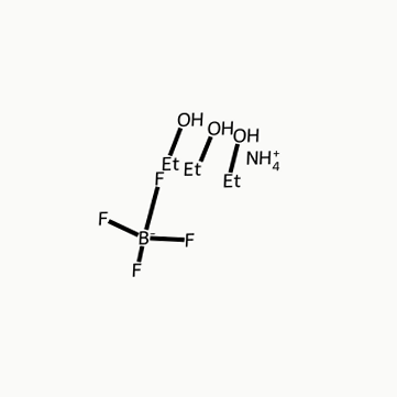 CCO.CCO.CCO.F[B-](F)(F)F.[NH4+]